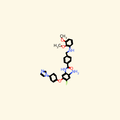 COc1cccc(NCc2ccc(C(=O)Nc3cc(Oc4ccc(-n5ccnc5)cc4)c(F)cc3N)cc2)c1OC